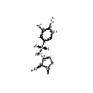 CN1CC[C@@H](NS(=O)(=O)c2cnc(Cl)c(Cl)c2)C1=O